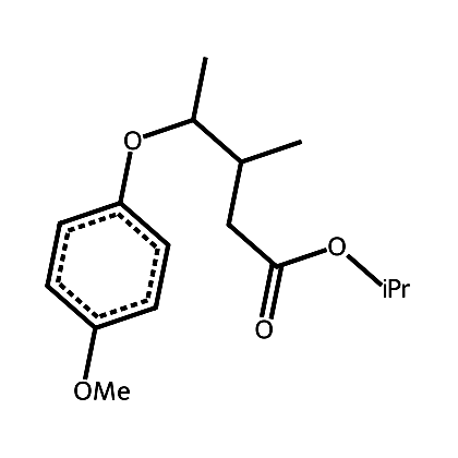 COc1ccc(OC(C)C(C)CC(=O)OC(C)C)cc1